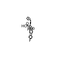 O=C(O)NC(C#CCN1CCCC1)CS(=O)(=O)N1CCN(c2ccc(F)cc2)CC1